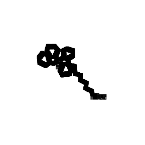 CCCCCCCCCCCCCCCCCCc1ccccc1[PH](Cc1ccccc1)(c1ccccc1)c1ccccc1